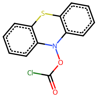 O=C(Cl)ON1c2ccccc2Sc2ccccc21